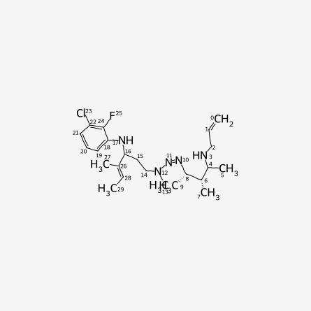 C=CCNC(C)[C@H](C)[C@H](C)/N=N\N(C)CCC(Nc1cccc(Cl)c1F)/C(C)=C/C